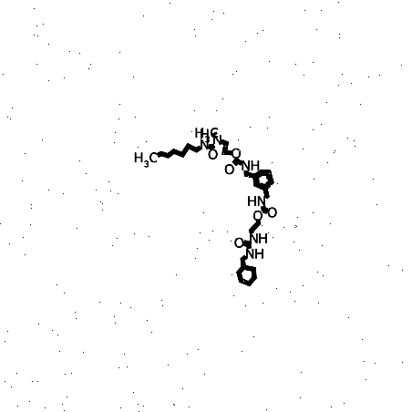 CCCCCCCNC(=O)N(C)CCOC(=O)NCc1cccc(CNC(=O)OCCNC(=O)NCC2CCCCC2)c1